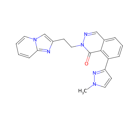 Cn1ccc(-c2cccc3cnn(CCc4cn5ccccc5n4)c(=O)c23)n1